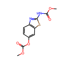 COC(=O)Nc1nc2ccc(OC(=O)OC)cc2s1